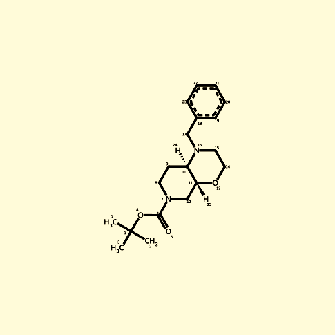 CC(C)(C)OC(=O)N1CC[C@@H]2[C@@H](C1)OCCN2Cc1ccccc1